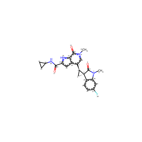 CN1C(=O)[C@@]2(C[C@H]2c2cn(C)c(=O)c3[nH]c(C(=O)NC4CC4)cc23)c2ccc(F)cc21